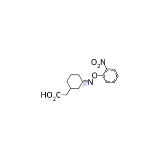 O=C(O)CC1CCC/C(=N\Oc2ccccc2[N+](=O)[O-])C1